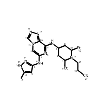 CCC1CC(Nc2nc(Nc3cc(C)[nH]n3)cn3cnnc23)CC(CC)N1CCC#N